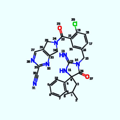 CC(C)CC1(c2ccccc2)NC(=N)N(Cc2ccc(Cl)c(C(=O)N3Cc4cnc(C#N)nc4C3)c2)C1=O